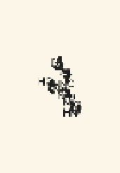 Cc1cc(-c2ccc(C(=O)Nc3cc4oc(C5CNCCO5)nc4nc3N3CCC(O)C3)s2)ccn1